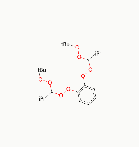 CC(C)C(OOc1ccccc1OOC(OOC(C)(C)C)C(C)C)OOC(C)(C)C